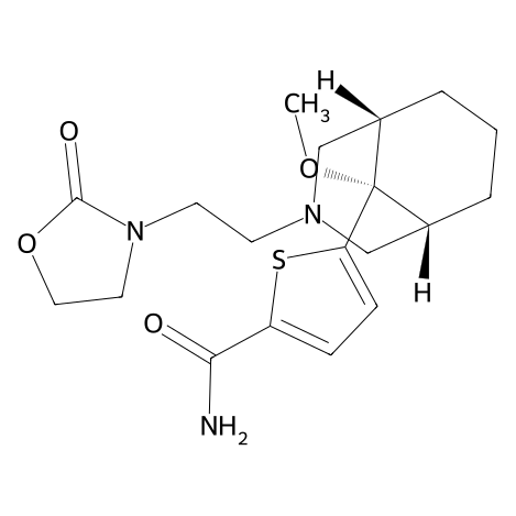 CO[C@@]1(c2ccc(C(N)=O)s2)[C@@H]2CCC[C@H]1CN(CCN1CCOC1=O)C2